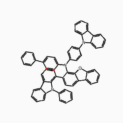 c1ccc(-c2ccc(N(c3ccc(-n4c5ccccc5c5ccccc54)cc3)c3c(-c4cccc5c6ccccc6n(-c6ccccc6)c45)ccc4c3oc3ccccc34)cc2)cc1